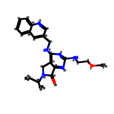 COCCNc1nc(NCc2cnc3ccccc3c2)c2c(n1)C(=O)N(C(C)C)C2